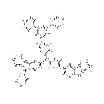 c1ccc(-c2cc(-c3ccccc3)cc(-c3ccc(N(c4ccc(-c5ccc6oc7ccccc7c6c5)cc4)c4ccc5c(c4)c4ccccc4n5-c4ccccc4)cc3)c2)cc1